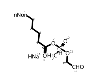 CCCCCCCCCCCCCC(=O)O[SH](C)(=O)OCC=O.[NaH]